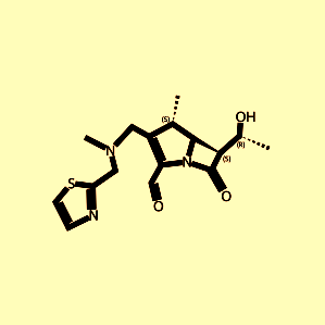 C[C@H]1C(CN(C)Cc2nccs2)=C(C=O)N2C(=O)[C@H]([C@@H](C)O)C12